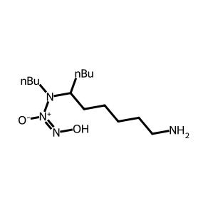 CCCCC(CCCCCN)N(CCCC)/[N+]([O-])=N\O